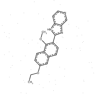 CCOc1ccc2c(OC)c(-c3nc4cnccc4[nH]3)ccc2c1